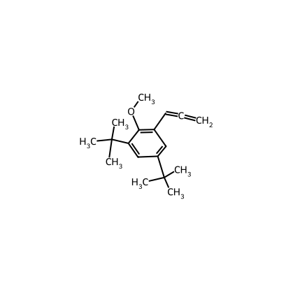 C=C=Cc1cc(C(C)(C)C)cc(C(C)(C)C)c1OC